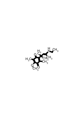 CCN/C(C)=C/C(C)(C)C1=C(C)C(=O)C(OC)=C(C)C1=O